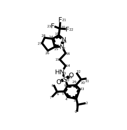 CC(C)c1cc(C(C)C)c(S(=O)(=O)NCCCn2nc(C(F)(F)F)c3c2CCC3)c(C(C)C)c1